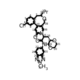 CC(C)C1Cc2ccc(Cl)cc2-c2cc(=O)n(C(C[C@@H]3COCCO3)C(=O)Nc3ccc4nn(C)nc4c3)cc2CO1